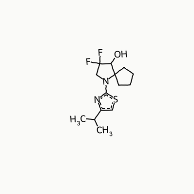 CC(C)c1csc(N2CC(F)(F)C(O)C23CCCC3)n1